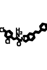 N[C@H](Cc1ccc(Cl)cc1Cl)C(=O)N1Cc2ccc(C=Cc3ccccc3)cc2C1